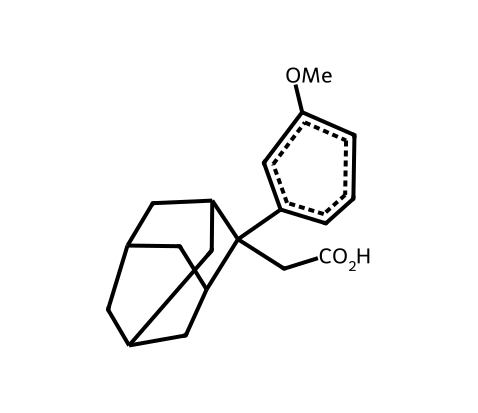 COc1cccc(C2(CC(=O)O)C3CC4CC(C3)CC2C4)c1